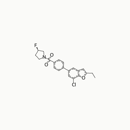 CCc1cc2cc(-c3ccc(S(=O)(=O)N4CC[C@@H](F)C4)cc3)cc(Cl)c2o1